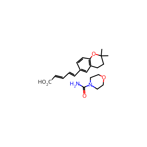 CC1(C)CCc2cc(/C=C/C=C/C(=O)O)ccc2O1.NC(=O)N1CCOCC1